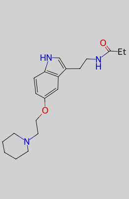 CCC(=O)NCCc1c[nH]c2ccc(OCCN3CCCCC3)cc12